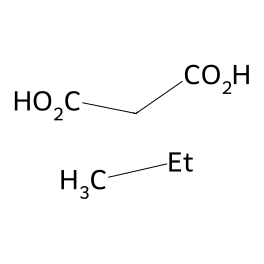 CCC.O=C(O)CC(=O)O